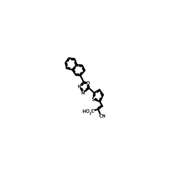 N#CC(=Cc1ccc(-c2nnc(-c3ccc4ccccc4c3)o2)s1)C(=O)O